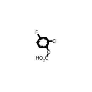 O=C(O)Oc1ccc(F)cc1Cl